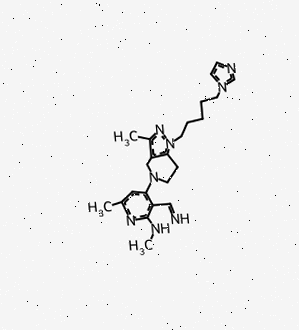 CNc1nc(C)cc(N2CCc3c(c(C)nn3CCCCCn3ccnc3)C2)c1C=N